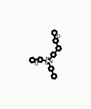 c1ccc(-c2ccc(-c3nc(-c4ccc(-c5cccc(-c6ccc7c(c6)oc6ccccc67)c5)cc4)nc(-c4ccc5c(c4)oc4ccccc45)n3)cc2)cc1